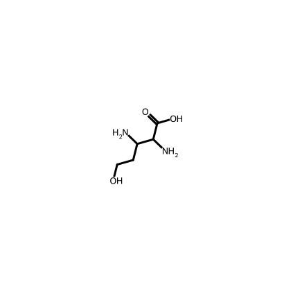 NC(CCO)C(N)C(=O)O